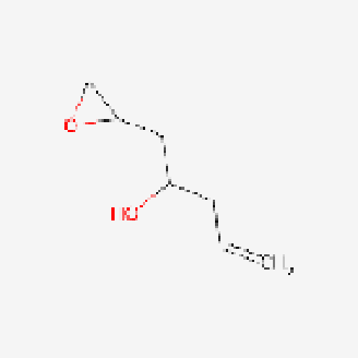 C=CCC(O)CC1CO1